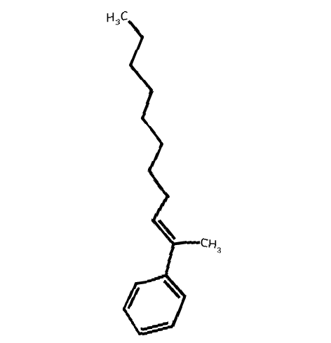 CCCCCCCCC=C(C)c1ccccc1